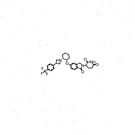 O=C1CCC(N2Cc3cc(O[C@@H]4CCCC[C@H]4N4CC(c5ccc(C(F)(F)F)cc5)C4)ccc3C2=O)C(=O)N1